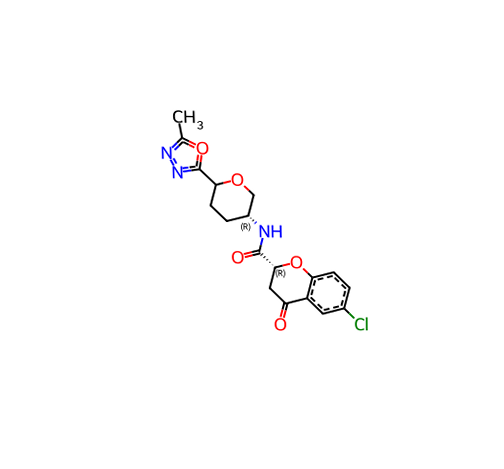 Cc1nnc(C2CC[C@@H](NC(=O)[C@H]3CC(=O)c4cc(Cl)ccc4O3)CO2)o1